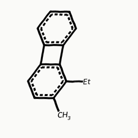 CCc1c(C)ccc2c1-c1ccccc1-2